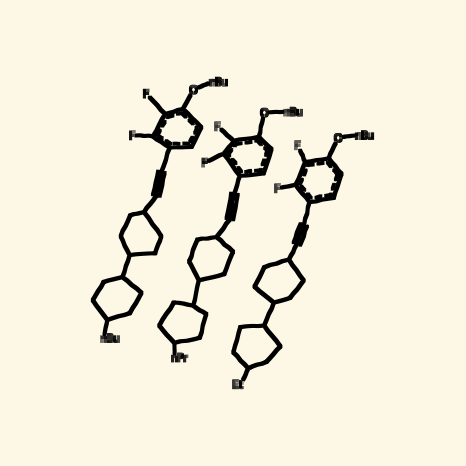 CCCCOc1ccc(C#CC2CCC(C3CCC(CC)CC3)CC2)c(F)c1F.CCCCOc1ccc(C#CC2CCC(C3CCC(CCC)CC3)CC2)c(F)c1F.CCCCOc1ccc(C#CC2CCC(C3CCC(CCCC)CC3)CC2)c(F)c1F